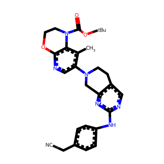 Cc1c(N2CCc3cnc(Nc4ccc(CC#N)cc4)nc3C2)cnc2c1N(C(=O)OC(C)(C)C)CCO2